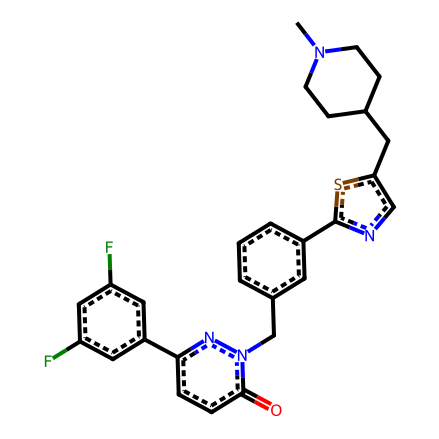 CN1CCC(Cc2cnc(-c3cccc(Cn4nc(-c5cc(F)cc(F)c5)ccc4=O)c3)s2)CC1